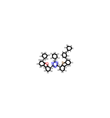 c1ccc(-c2cccc(-c3cccc4c3sc3c(-c5nc(-c6ccccc6)nc(-c6cccc7c6oc6c(-c8ccccc8)cccc67)n5)cccc34)c2)cc1